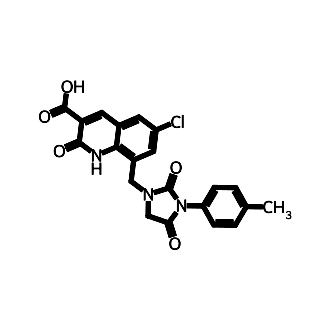 Cc1ccc(N2C(=O)CN(Cc3cc(Cl)cc4cc(C(=O)O)c(=O)[nH]c34)C2=O)cc1